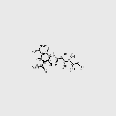 CNC(=O)c1c(I)c(NC(=O)[C@H](O)[C@@H](O)[C@H](O)[C@H](O)CO)c(I)c(C(=O)NC)c1I